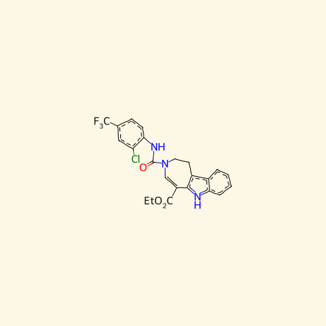 CCOC(=O)C1=CN(C(=O)Nc2ccc(C(F)(F)F)cc2Cl)CCc2c1[nH]c1ccccc21